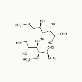 CC(=O)N[C@H](C=O)[C@@H](OS(=O)(=O)O)[C@H](O)[C@H](O)CO.O=C[C@H](O)[C@@H](O)[C@H](O)[C@H](O)COS(=O)(=O)O